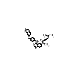 CN(C)CC#CC(=O)N(C)c1ccc2ncnc(Nc3ccc(Oc4ccn5cnnc5c4)cc3)c2c1